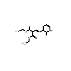 CCOC(=O)C(/C=N/c1ccc[nH]c1=O)C(=O)OCC